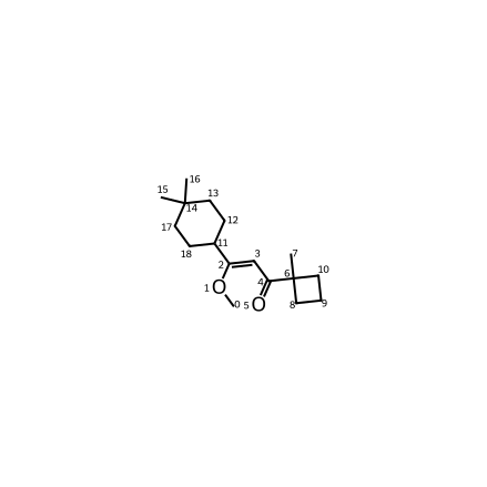 CO/C(=C\C(=O)C1(C)CCC1)C1CCC(C)(C)CC1